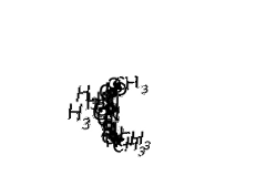 COc1c(Nc2ccc(S(C)(=O)=O)nc2C)ncnc1OC1CCN(c2nc(C(C)C)no2)CC1